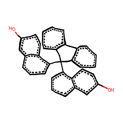 Oc1ccc2c(C3(c4cccc5cc(O)ccc45)c4ccccc4-c4ccccc43)cccc2c1